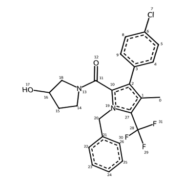 Cc1c(-c2ccc(Cl)cc2)c(C(=O)N2CCC(O)C2)n(Cc2ccccc2)c1C(F)(F)F